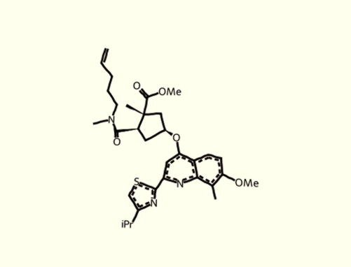 C=CCCCN(C)C(=O)[C@@H]1C[C@H](Oc2cc(-c3nc(C(C)C)cs3)nc3c(C)c(OC)ccc23)C[C@@]1(C)C(=O)OC